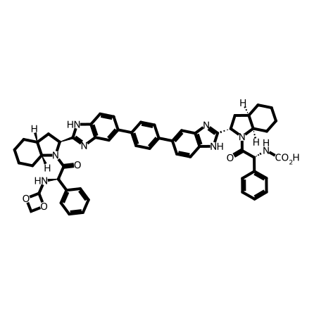 O=C(O)N[C@@H](C(=O)N1[C@@H]2CCCC[C@@H]2C[C@H]1c1nc2cc(-c3ccc(-c4ccc5[nH]c([C@@H]6C[C@H]7CCCC[C@H]7N6C(=O)[C@H](NC6OCO6)c6ccccc6)nc5c4)cc3)ccc2[nH]1)c1ccccc1